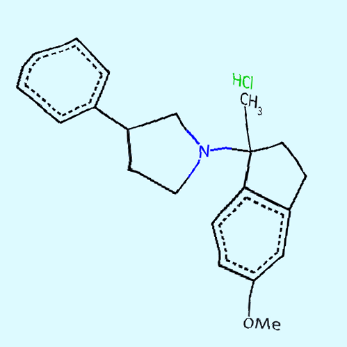 COc1ccc2c(c1)CCC2(C)N1CCC(c2ccccc2)C1.Cl